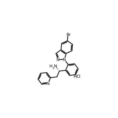 Cl.N[C@@H](Cc1ccccn1)c1ccccc1-n1ncc2cc(Br)ccc21